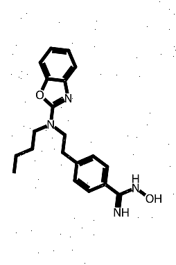 CCCCN(CCc1ccc(C(=N)NO)cc1)c1nc2ccccc2o1